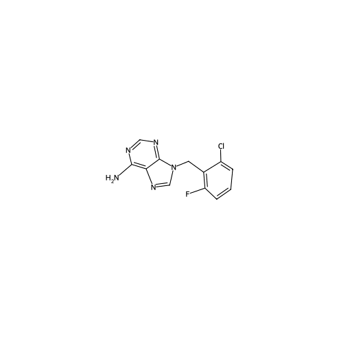 Nc1ncnc2c1ncn2Cc1c(F)cccc1Cl